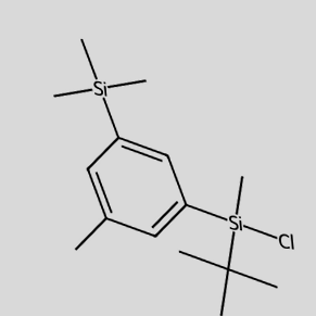 Cc1cc([Si](C)(C)C)cc([Si](C)(Cl)C(C)(C)C)c1